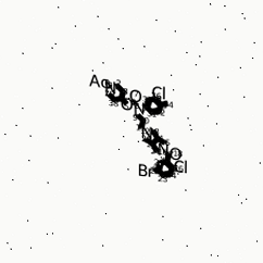 CC(=O)N1CCC(OC(=O)N(CCCN2CC3CN(C(=O)c4cc(Br)ccc4Cl)CC3C2)c2ccc(C)c(Cl)c2)CC1